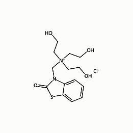 O=c1sc2ccccc2n1C[N+](CCO)(CCO)CCO.[Cl-]